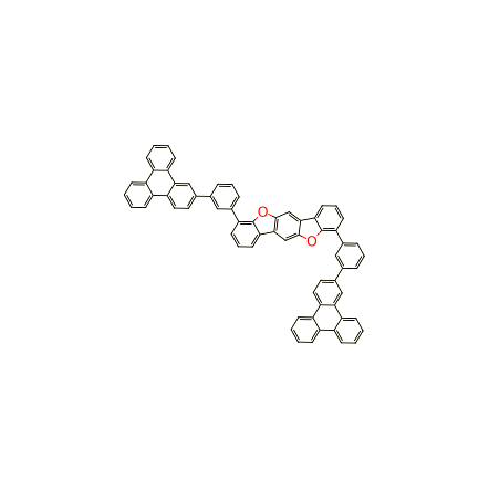 c1cc(-c2ccc3c4ccccc4c4ccccc4c3c2)cc(-c2cccc3c2oc2cc4c(cc23)oc2c(-c3cccc(-c5ccc6c7ccccc7c7ccccc7c6c5)c3)cccc24)c1